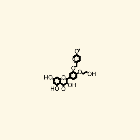 COc1ccc(COc2cc(C3Oc4cc(O)cc(O)c4C(=O)C3O)ccc2OCCO)nc1